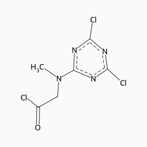 CN(CC(=O)Cl)c1nc(Cl)nc(Cl)n1